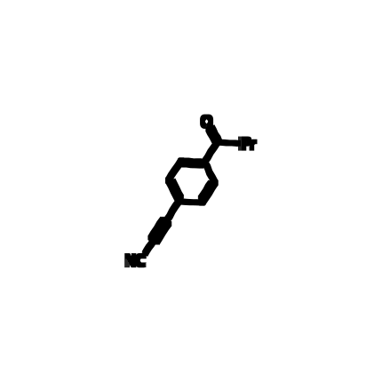 CC(C)C(=O)c1ccc(C#CC#N)cc1